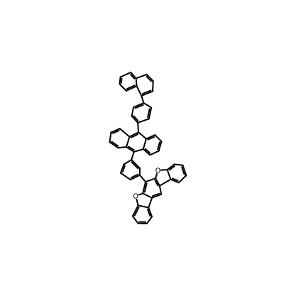 c1cc(-c2c3ccccc3c(-c3ccc(-c4cccc5ccccc45)cc3)c3ccccc23)cc(-c2c3oc4ccccc4c3cc3c2oc2ccccc23)c1